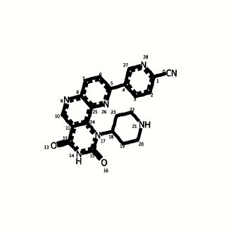 N#Cc1ccc(-c2ccc3ncc4c(=O)[nH]c(=O)n(C5CCNCC5)c4c3n2)cn1